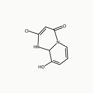 O=C1C=C(Cl)NC2C(O)=CC=CN12